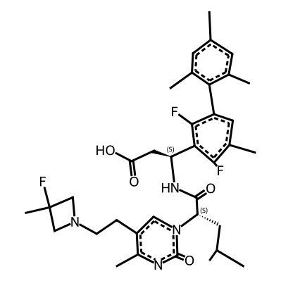 Cc1cc(C)c(-c2cc(C)c(F)c([C@H](CC(=O)O)NC(=O)[C@H](CC(C)C)n3cc(CCN4CC(C)(F)C4)c(C)nc3=O)c2F)c(C)c1